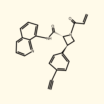 C#Cc1ccc([C@@H]2CN(C(=O)C=C)[C@H]2C(=O)Nc2cccc3cccnc23)cc1